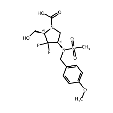 COc1ccc(CN([C@@H]2CN(C(=O)O)[C@H](CO)C2(F)F)S(C)(=O)=O)cc1